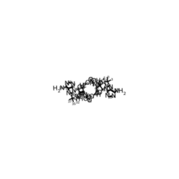 CC(C)(C)[Si](C)(C)O[C@@H]1[C@@H]2NP(=O)(O)OC[C@H]3O[C@@H](n4cnc5c(N)ncnc54)[C@H](O[Si](C)(C)C(C)(C)C)[C@@H]3NP(=O)(O)OC[C@H]2O[C@H]1n1cnc2c(N)ncnc21